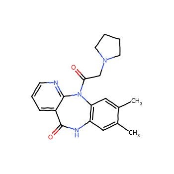 Cc1cc2c(cc1C)N(C(=O)CN1CCCC1)c1ncccc1C(=O)N2